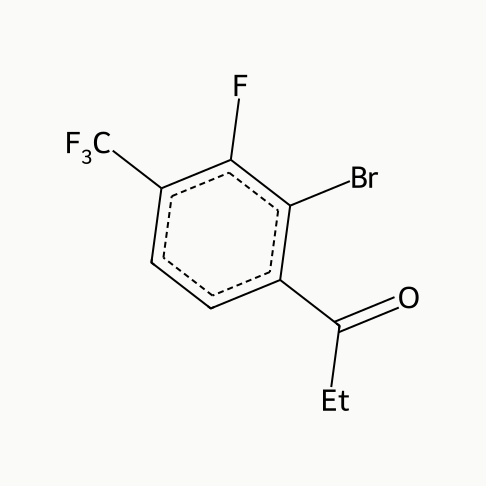 CCC(=O)c1ccc(C(F)(F)F)c(F)c1Br